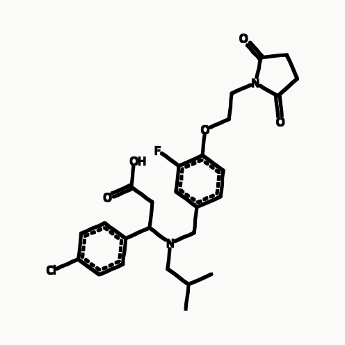 CC(C)CN(Cc1ccc(OCCN2C(=O)CCC2=O)c(F)c1)C(CC(=O)O)c1ccc(Cl)cc1